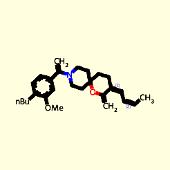 C=C1OC2(CC/C1=C/C=C\C)CCN(C(=C)c1ccc(CCCC)c(OC)c1)CC2